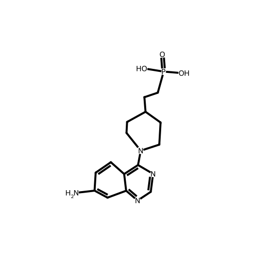 Nc1ccc2c(N3CCC(CCP(=O)(O)O)CC3)ncnc2c1